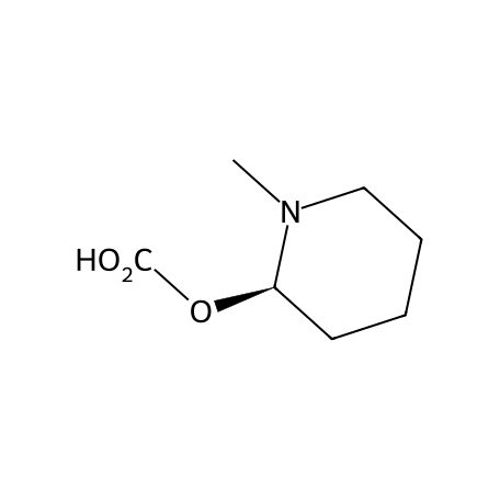 CN1CCCC[C@H]1OC(=O)O